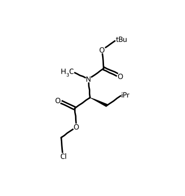 CC(C)C[C@@H](C(=O)OCCl)N(C)C(=O)OC(C)(C)C